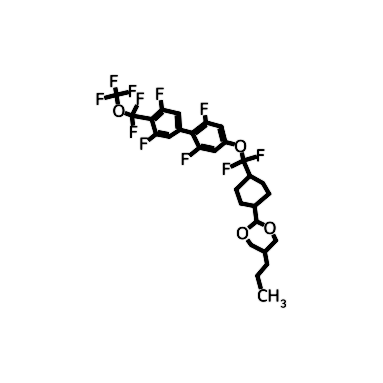 CCCC1COC(C2CCC(C(F)(F)Oc3cc(F)c(-c4cc(F)c(C(F)(F)OC(F)(F)F)c(F)c4)c(F)c3)CC2)OC1